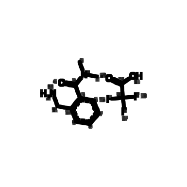 CN(C)C(=O)c1ccccc1CN.O=C(O)C(F)(F)F